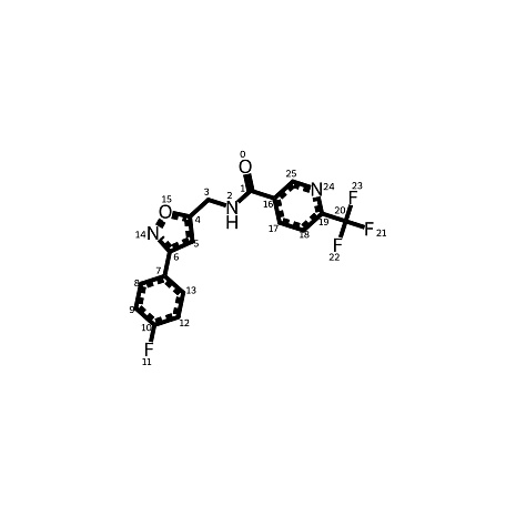 O=C(NCc1cc(-c2ccc(F)cc2)no1)c1ccc(C(F)(F)F)nc1